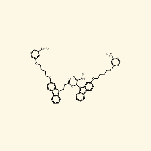 CCNC(=O)C(OC(=O)CCn1c2ccccc2c2ccc(OCCCCOc3cccc(NC(C)=O)c3)cc21)n1c2ccccc2c2ccc(OCCCCOc3cccc(C)c3)cc21